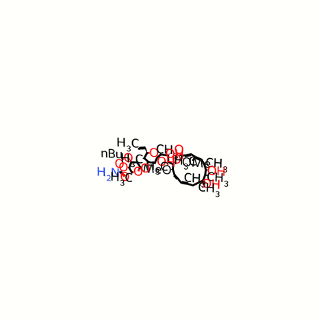 C/C=C/[C@H]1O[C@@](O)([C@@H](C)[C@H](O)[C@H](C)[C@H]2OC(=O)/C(OC)=C/C(C)=C/[C@@H](C)[C@@H](O)[C@@H](C)[C@@H](O)[C@H](C)C/C(C)=C/C=C/[C@@H]2OC)C[C@@H](O[C@@H]2C[C@H](OC(=O)CCCC)[C@@H](OC(N)=O)[C@H](C)O2)[C@@H]1C